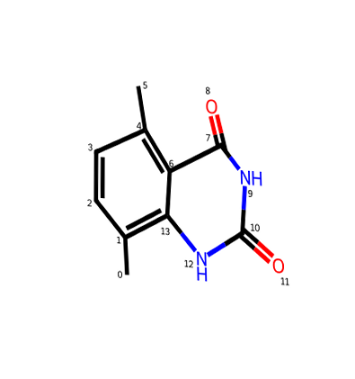 Cc1ccc(C)c2c(=O)[nH]c(=O)[nH]c12